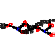 CCCCCCCCC(CCCCCC)COC(=O)CCCCCN(CCCO)CCCCCC(=O)OCC(CCCCCCCC)CC(CCCC)C(CC)CCCC(CCCCCCCC)COC(=O)CCCCN(CCCCO)CCCCC(=O)OCC(CCCCCC)CCCCCCCC